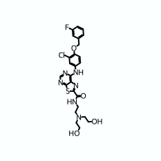 O=C(NCCN(CCO)CCO)c1nc2c(Nc3ccc(OCc4cccc(F)c4)c(Cl)c3)ncnc2s1